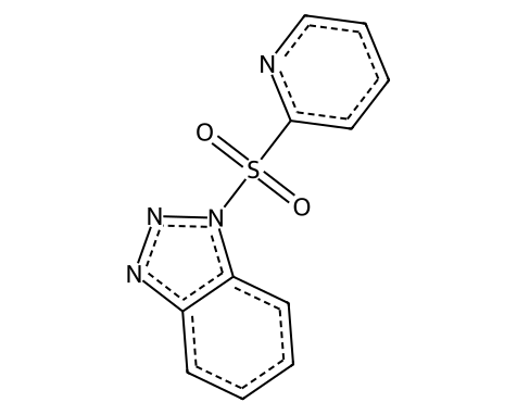 O=S(=O)(c1ccccn1)n1nnc2ccccc21